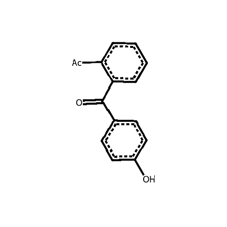 CC(=O)c1ccccc1C(=O)c1ccc(O)cc1